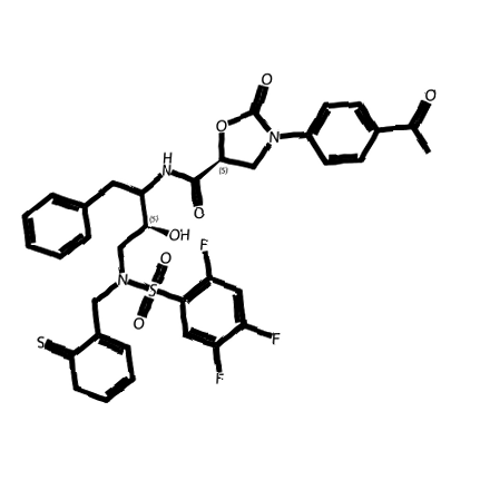 CC(=O)c1ccc(N2C[C@@H](C(=O)NC(Cc3ccccc3)[C@@H](O)CN(CC3=CC=CCC3=S)S(=O)(=O)c3cc(F)c(F)cc3F)OC2=O)cc1